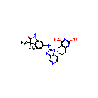 CC1(C)C(=O)Nc2cc(NC3=N[N+]4(N5CCc6nc(O)nc(O)c6C5)C=CN=CC4=N3)ccc21